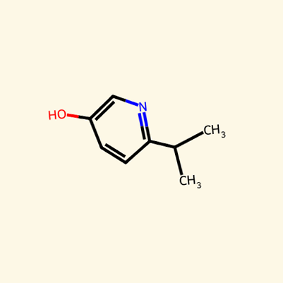 CC(C)c1ccc(O)cn1